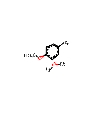 CC(C)c1ccc(OC(=O)O)cc1.CCOCC